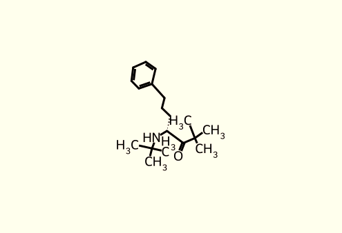 CC(C)(C)N[C@H](CCCc1ccccc1)C(=O)C(C)(C)C